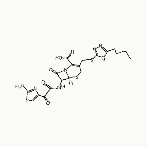 CCCCc1nnc(SCC2=C(C(=O)O)N3C(=O)C(NC(=O)C(=O)c4csc(N)n4)[C@@H]3SC2)o1